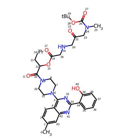 Cc1ccc2c(N3CCN(C(=O)C(CC(C)C)OC(=O)CNCC(=O)CN(C)C(=O)OC(C)(C)C)CC3)nc(-c3ccccc3O)nc2c1